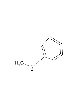 CNC1=CC=C=C=C1